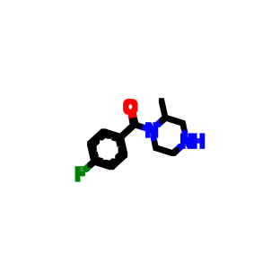 CC1CNCCN1C(=O)c1ccc(F)cc1